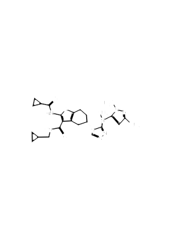 Cc1cc(N(C)c2nncn2[C@H]2CCc3sc(NC(=O)C4CC4)c(C(=O)NCC4CC4)c3C2)n(C)n1